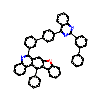 c1ccc(-c2cccc(-c3nc(-c4ccc(-c5cccc(-c6nc7ccccc7c7c(-c8ccccc8)c8c(cc67)oc6ccccc68)c5)cc4)c4ccccc4n3)c2)cc1